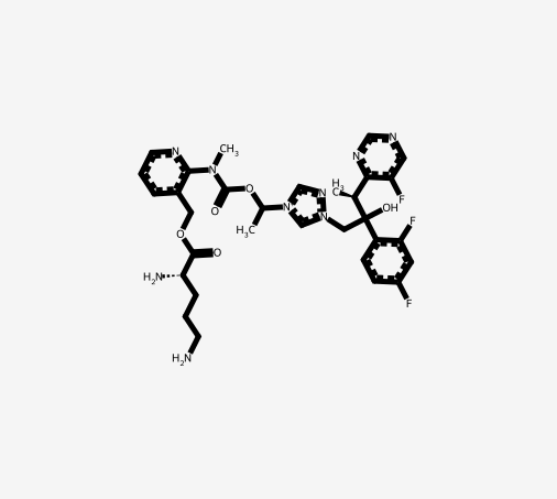 CC(OC(=O)N(C)c1ncccc1COC(=O)[C@@H](N)CCCN)[n+]1cnn(CC(O)(c2ccc(F)cc2F)[C@@H](C)c2ncncc2F)c1